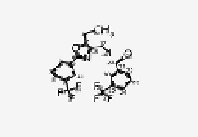 CCc1oc(-c2cccc(C(F)(F)F)c2)nc1CI.O=Cc1cccc(C(F)(F)F)c1